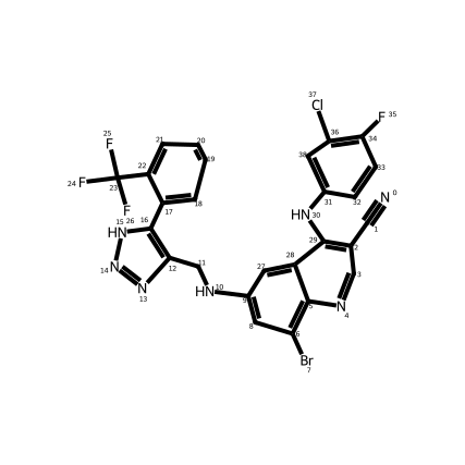 N#Cc1cnc2c(Br)cc(NCc3nn[nH]c3-c3ccccc3C(F)(F)F)cc2c1Nc1ccc(F)c(Cl)c1